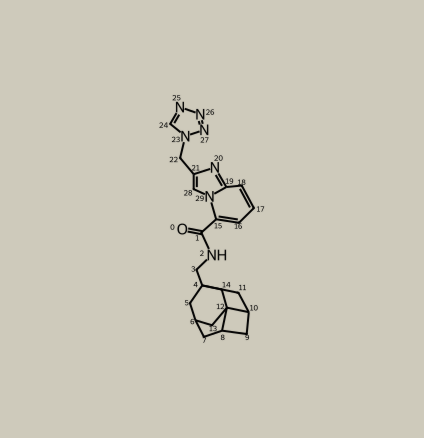 O=C(NCC12CC3CC4CC(C1)C4(C3)C2)c1cccc2nc(Cn3cnnn3)cn12